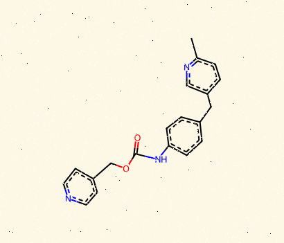 Cc1ccc(Cc2ccc(NC(=O)OCc3ccncc3)cc2)cn1